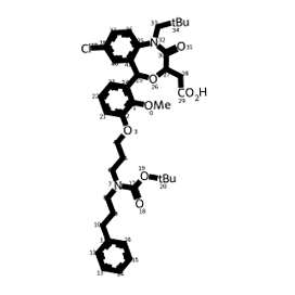 COc1c(OCCCN(CCCc2ccccc2)C(=O)OC(C)(C)C)cccc1C1OC(CC(=O)O)C(=O)N(CC(C)(C)C)c2ccc(Cl)cc21